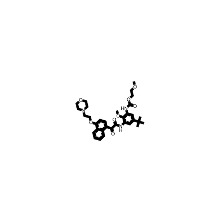 COCCOC(=O)Nc1cc(C(C)(C)C)cc(NC(=O)C(=O)c2ccc(OCCN3CCOCC3)c3ccccc23)c1OC